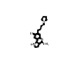 CCc1cc2c3c(c(C)nc2cc1CCCCN1CCCC1)CCN3